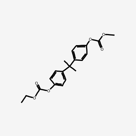 CCOC(=O)Oc1ccc(C(C)(C)c2ccc(OC(=O)OC)cc2)cc1